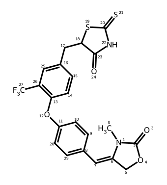 CN1C(=O)OC/C1=C/c1ccc(Oc2ccc(CC3SC(=S)NC3=O)cc2C(F)(F)F)cc1